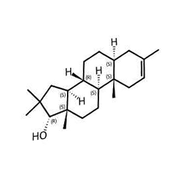 CC1=CC[C@@]2(C)[C@@H](CC[C@@H]3[C@@H]2CC[C@]2(C)[C@H](O)C(C)(C)C[C@@H]32)C1